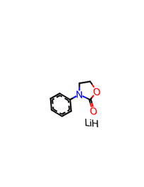 O=C1OCCN1c1ccccc1.[LiH]